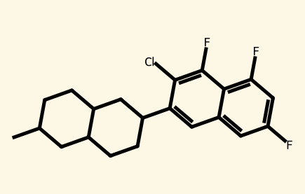 CC1CCC2CC(c3cc4cc(F)cc(F)c4c(F)c3Cl)CCC2C1